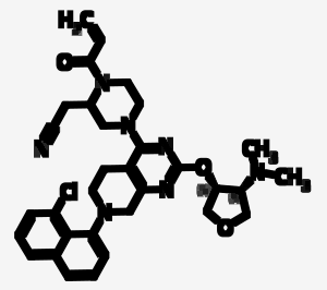 C=CC(=O)N1CCN(c2nc(O[C@@H]3COC[C@@H]3N(C)C)nc3c2CCN(c2cccc4cccc(Cl)c24)C3)CC1CC#N